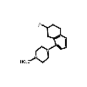 NC1CCc2cccc(N3CCN(C(=O)O)CC3)c2C1